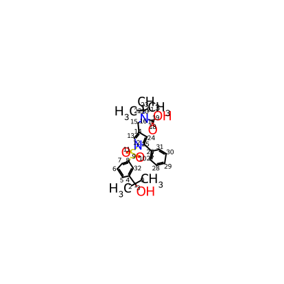 CC(C)(O)c1cccc(S(=O)(=O)n2cc(CN(C(=O)O)C(C)(C)C)cc2-c2ccccc2)c1